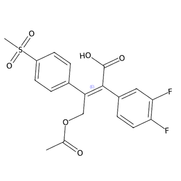 CC(=O)OC/C(=C(/C(=O)O)c1ccc(F)c(F)c1)c1ccc(S(C)(=O)=O)cc1